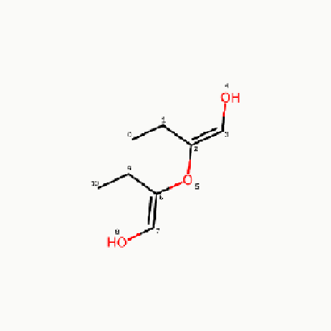 CC/C(=C\O)O/C(=C/O)CC